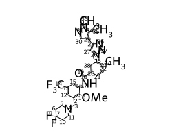 COc1c(CN2CCC(F)(F)CC2)cc(C(F)(F)F)cc1NC(=O)c1ccc(C)c(-n2cc(-c3cnn(C)c3C)nn2)c1